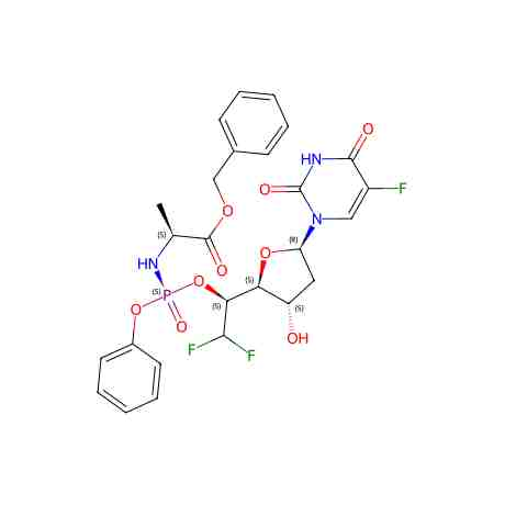 C[C@H](N[P@@](=O)(Oc1ccccc1)O[C@H](C(F)F)[C@H]1O[C@@H](n2cc(F)c(=O)[nH]c2=O)C[C@@H]1O)C(=O)OCc1ccccc1